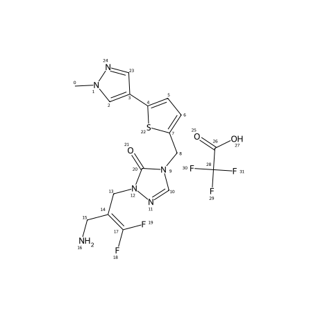 Cn1cc(-c2ccc(Cn3cnn(CC(CN)=C(F)F)c3=O)s2)cn1.O=C(O)C(F)(F)F